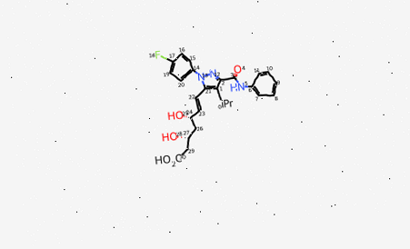 CC(C)c1c(C(=O)Nc2ccccc2)nn(-c2ccc(F)cc2)c1/C=C/[C@@H](O)C[C@@H](O)CC(=O)O